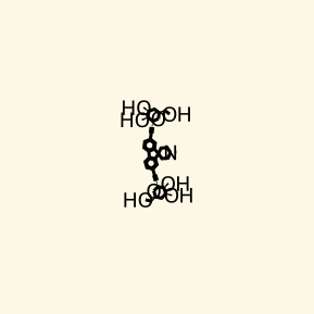 CN1CCC2(CC1)c1cc(C#C[C@H]3O[C@H](CO)C[C@H](O)[C@@H]3O)ccc1-c1ccc(C#C[C@H]3O[C@H](CO)C[C@H](O)[C@@H]3O)cc12